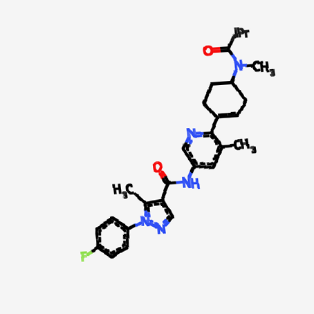 Cc1cc(NC(=O)c2cnn(-c3ccc(F)cc3)c2C)cnc1C1=CCC(N(C)C(=O)C(C)C)CC1